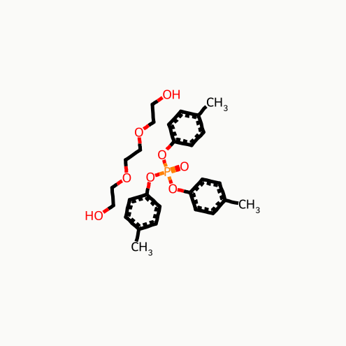 Cc1ccc(OP(=O)(Oc2ccc(C)cc2)Oc2ccc(C)cc2)cc1.OCCOCCOCCO